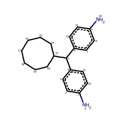 Nc1ccc(C(c2ccc(N)cc2)C2CCCCCCC2)cc1